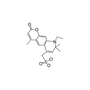 CCN1c2cc3oc(=O)cc(C)c3cc2C(CS(=O)(=O)Cl)=CC1(C)C